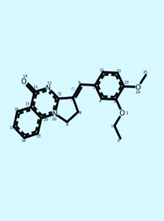 CCOc1cc(/C=C2\CCn3c2nc(=O)c2ccccc23)ccc1OC